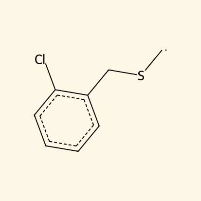 [CH2]SCc1ccccc1Cl